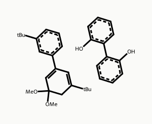 COC1(OC)C=C(c2cccc(C(C)(C)C)c2)C=C(C(C)(C)C)C1.Oc1ccccc1-c1ccccc1O